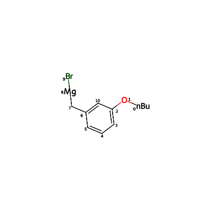 CCCCOc1cccc([CH2][Mg][Br])c1